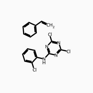 C=Cc1ccccc1.Clc1nc(Cl)nc(Nc2ccccc2Cl)n1